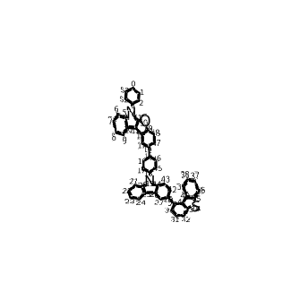 c1ccc(-n2c3ccccc3c3c4cc(-c5ccc(-n6c7ccccc7c7cc(-c8cccc9sc%10ccccc%10c89)ccc76)cc5)ccc4oc32)cc1